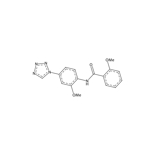 COc1cc(-n2cnnn2)ccc1NC(=O)c1ccccc1OC